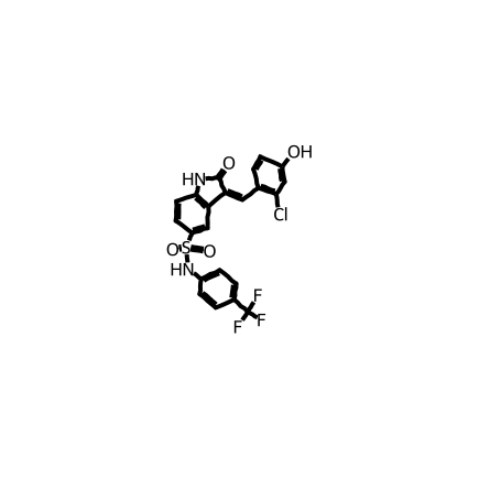 O=C1Nc2ccc(S(=O)(=O)Nc3ccc(C(F)(F)F)cc3)cc2C1=Cc1ccc(O)cc1Cl